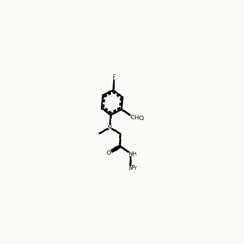 CCCNC(=O)CN(C)c1ccc(F)cc1C=O